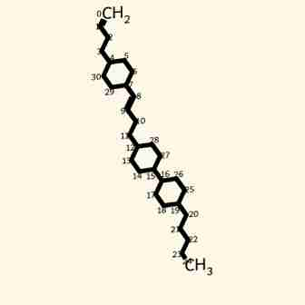 C=CCCC1CCC(/C=C/CCC2CCC(C3CCC(CCCCC)CC3)CC2)CC1